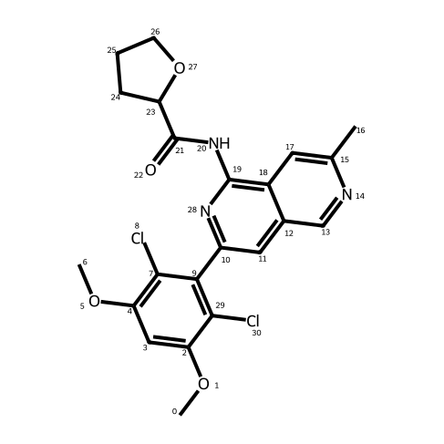 COc1cc(OC)c(Cl)c(-c2cc3cnc(C)cc3c(NC(=O)C3CCCO3)n2)c1Cl